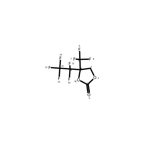 O=C1OCC(C(F)(F)F)(C(F)(F)C(F)(F)F)O1